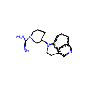 N=C(N)N1CCCC(N2CCc3cncc4cccc2c34)C1